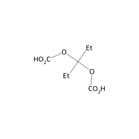 CCC(CC)(OC(=O)O)OC(=O)O